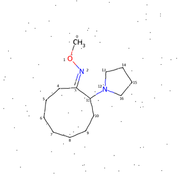 CON=C1CCCCCCCC1N1CCCC1